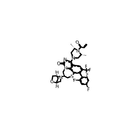 C=CC(=O)N1[C@H](C)CN(c2nc(=O)n3c4c(c(-c5c(F)cc(F)cc5F)c(C(F)(F)F)cc24)SCC(N2C[C@@H]4C[C@H]2CO4)C3)C[C@@H]1C